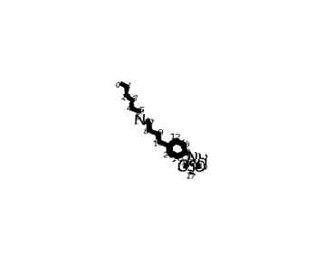 CCCCCCN=CCCCc1ccc(NS(C)(=O)=O)cc1